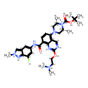 C[C@@H]1CN(c2ccc(C(=O)Nc3cc(F)c4nn(C)cc4c3)c3nc(OCCN(C)C)ncc23)C[C@H](C)N1C(=O)OC(C)(C)C